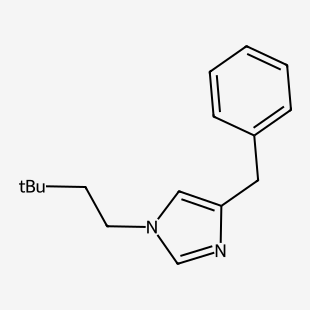 CC(C)(C)CCn1cnc(Cc2ccccc2)c1